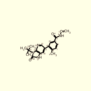 CONC(=O)c1ccc(C)c(-c2cnc3c(c2)[nH]c(=O)n3C(C)(C)C)c1